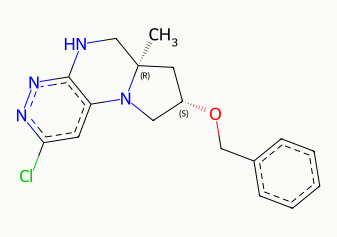 C[C@@]12CNc3nnc(Cl)cc3N1C[C@@H](OCc1ccccc1)C2